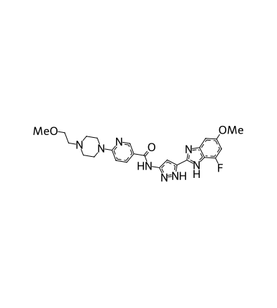 COCCN1CCN(c2ccc(C(=O)Nc3cc(-c4nc5cc(OC)cc(F)c5[nH]4)[nH]n3)cn2)CC1